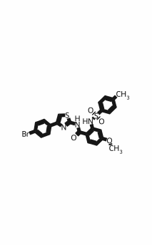 COc1ccc(C(=O)Nc2nc(-c3ccc(Br)cc3)cs2)c(NS(=O)(=O)c2ccc(C)cc2)c1